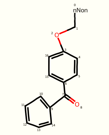 CCCCCCCCCCOc1ccc(C(=O)c2ccccc2)cc1